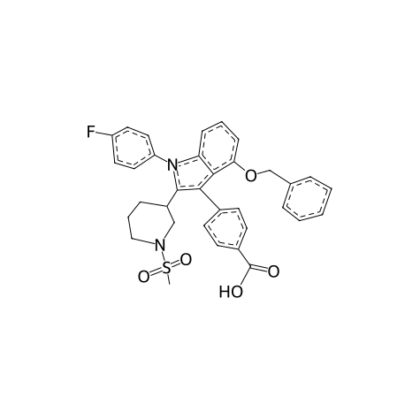 CS(=O)(=O)N1CCCC(c2c(-c3ccc(C(=O)O)cc3)c3c(OCc4ccccc4)cccc3n2-c2ccc(F)cc2)C1